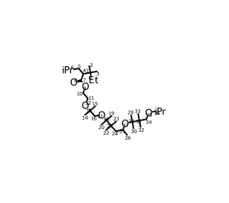 CCC(C)(C)C(CC(C)C)C(=O)OCCOC(C)(C)COC(C)(C)C(C)(C)CC(C)OC(C)(C)C(C)(C)COC(C)C